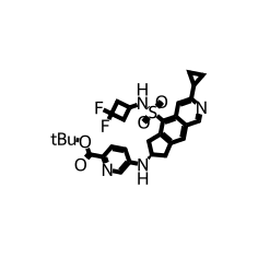 CC(C)(C)OC(=O)c1ccc(N[C@@H]2Cc3cc4cnc(C5CC5)cc4c(S(=O)(=O)NC4CC(F)(F)C4)c3C2)cn1